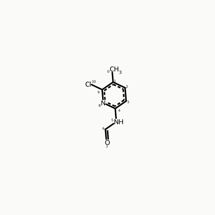 Cc1ccc(NC=O)nc1Cl